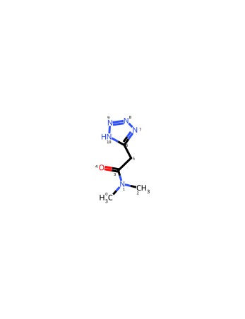 CN(C)C(=O)Cc1nnn[nH]1